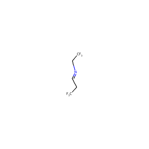 FC(F)(F)C/C=N/CC(F)(F)F